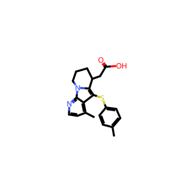 Cc1ccc(Sc2c3n(c4nccc(C)c24)CCCC3CC(=O)O)cc1